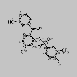 O=C(c1ccnc(O)c1)c1ncc(Cl)cc1NS(=O)(=O)c1ccc(Cl)c(C(F)(F)F)c1